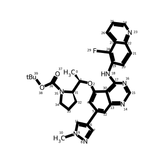 C[C@@H](Oc1cc(-c2cnn(C)c2)cc2ncnc(Nc3ccc4ncccc4c3F)c12)[C@H]1CCCN1C(=O)OC(C)(C)C